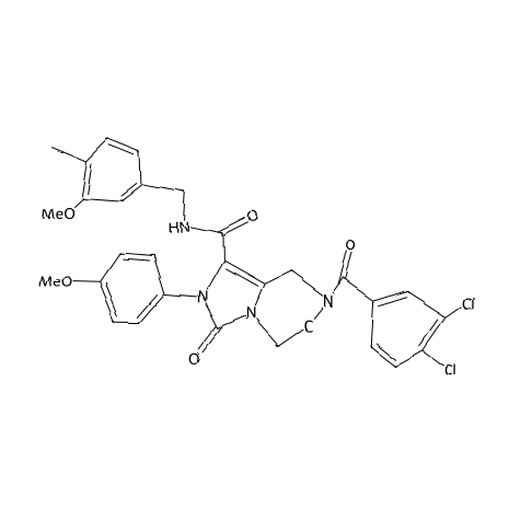 COc1ccc(-n2c(C(=O)NCc3ccc(C)c(OC)c3)c3n(c2=O)CCN(C(=O)c2ccc(Cl)c(Cl)c2)C3)cc1